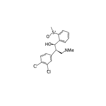 CNC[C@@H](c1ccc(Cl)c(Cl)c1)[C@@H](O)c1ccccc1[S+](C)[O-]